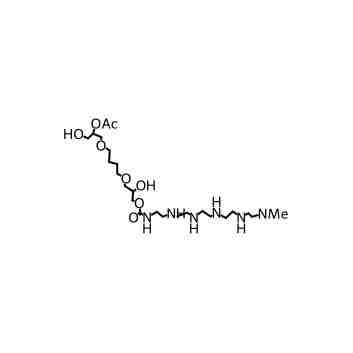 CNCCNCCNCCNCCNCCNC(=O)OCC(O)COCCCCOCC(CO)OC(C)=O